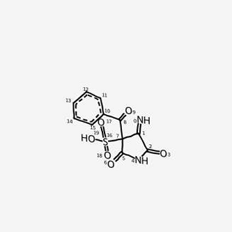 N=C1C(=O)NC(=O)C1(C(=O)c1ccccc1)S(=O)(=O)O